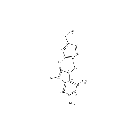 Cc1cc(CO)ccc1Cn1nc(C)c2nc(N)nc(O)c21